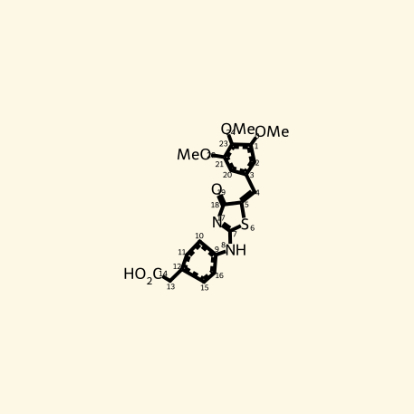 COc1cc(C=C2SC(Nc3ccc(CC(=O)O)cc3)=NC2=O)cc(OC)c1OC